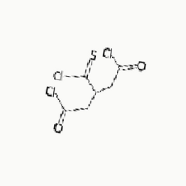 O=C(Cl)CC(CC(=O)Cl)C(=S)Cl